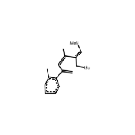 C=C(/C=C(C)\C(=C/NC)CC(C)(C)C)c1ccccc1C